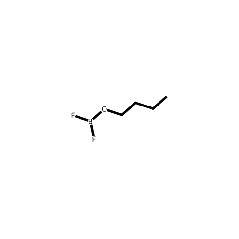 CCCCOB(F)F